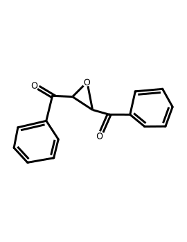 O=C(c1ccccc1)C1OC1C(=O)c1ccccc1